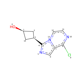 O[C@H]1C[C@@H](c2ncc3c(Cl)nccn32)C1